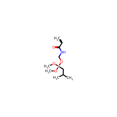 C=CC(=O)NCO[Si](CC(C)C)(OC)OC